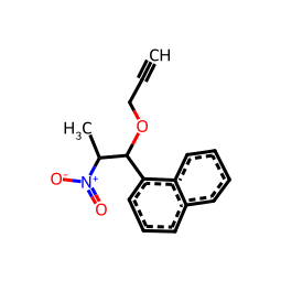 C#CCOC(c1cccc2ccccc12)C(C)[N+](=O)[O-]